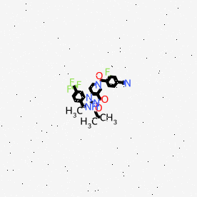 CC(C)COn1c(N[C@@H](C)c2ccc(C(F)(F)F)cc2)nc2c(c1=O)CN(C(=O)c1ccc(C#N)cc1F)CC2